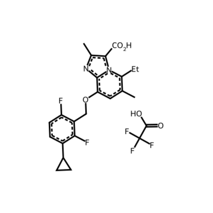 CCc1c(C)cc(OCc2c(F)ccc(C3CC3)c2F)c2nc(C)c(C(=O)O)n12.O=C(O)C(F)(F)F